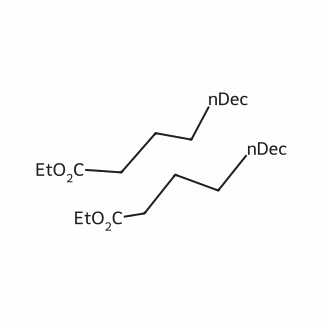 CCCCCCCCCCCCCC(=O)OCC.CCCCCCCCCCCCCC(=O)OCC